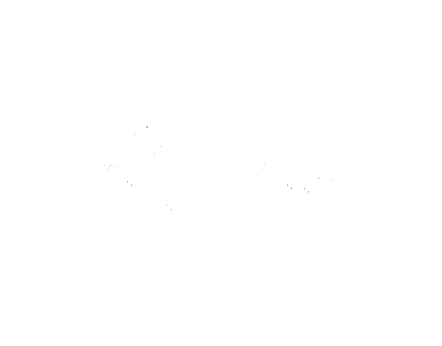 COc1ccccc1C1C(C(=O)OCc2ccc(C3=NNC(=O)CC3)cc2)=C(C)NC(C)=C1[N+](=O)[O-]